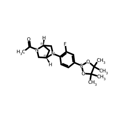 CC(=O)N1C[C@@H]2C[C@H]1CN2c1ccc(B2OC(C)(C)C(C)(C)O2)cc1F